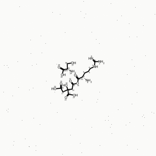 N=C(N)NCCC[C@H](N)C(=O)OC(=O)CC(O)(CC(=O)O)C(=O)O.N[C@@H](CO)C(=O)O